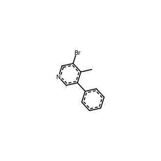 Cc1c(-c2ccccc2)[c]ncc1Br